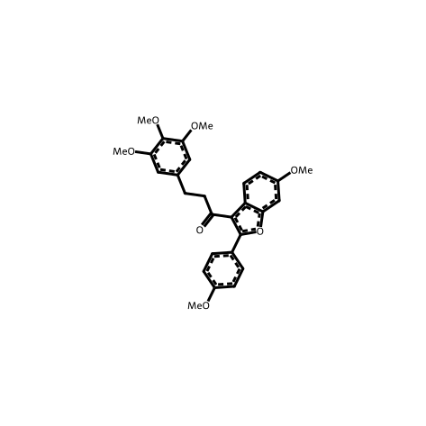 COc1ccc(-c2oc3cc(OC)ccc3c2C(=O)CCc2cc(OC)c(OC)c(OC)c2)cc1